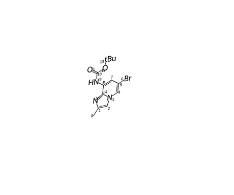 Cc1cn2cc(Br)cc(NC(=O)OC(C)(C)C)c2n1